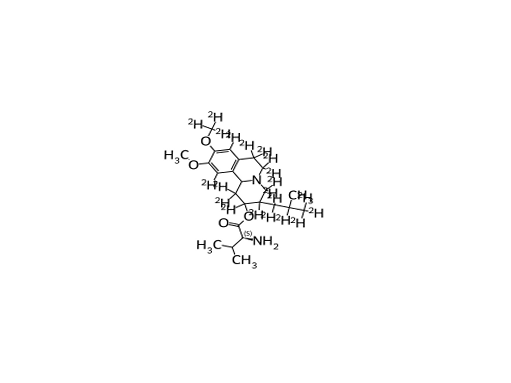 [2H]c1c(OC)c(OC([2H])([2H])[2H])c([2H])c2c1C1N(C([2H])([2H])C2([2H])[2H])C([2H])([2H])C([2H])(C([2H])([2H])C([2H])(C)C([2H])([2H])[2H])C([2H])(OC(=O)[C@@H](N)C(C)C)C1([2H])[2H]